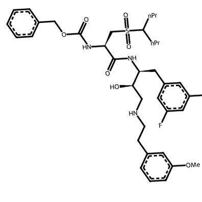 CCCC(CCC)S(=O)(=O)C[C@H](NC(=O)OCc1ccccc1)C(=O)N[C@@H](Cc1cc(F)cc(F)c1)[C@H](O)CNCCc1cccc(OC)c1